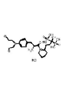 Cl.N[C@@H](Cc1ccc(N(CCCl)CCCl)cc1)C(=O)N1CCCCC1CCC(O)(P(=O)(O)O)P(=O)(O)O